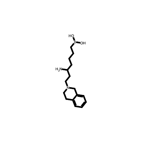 NC(CCCCB(O)O)CCN1CCc2ccccc2C1